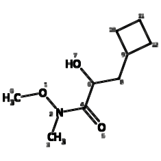 CON(C)C(=O)C(O)CC1CCC1